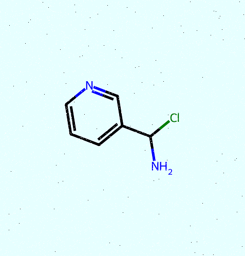 NC(Cl)c1cccnc1